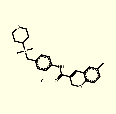 Cc1ccc2c(c1)C=C(C(=O)Nc1ccc(C[N+](C)(C)C3CCOCC3)cc1)CO2.[Cl-]